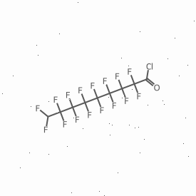 O=C(Cl)C(F)(F)C(F)(F)C(F)(F)C(F)(F)C(F)(F)C(F)(F)C(F)(F)C(F)F